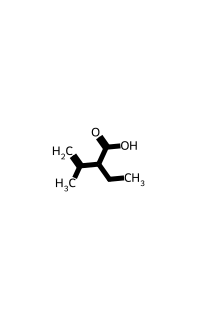 C=C(C)C(CC)C(=O)O